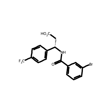 O=C(O)C[C@H](NC(=O)c1cccc(Br)c1)c1ccc(C(F)(F)F)cc1